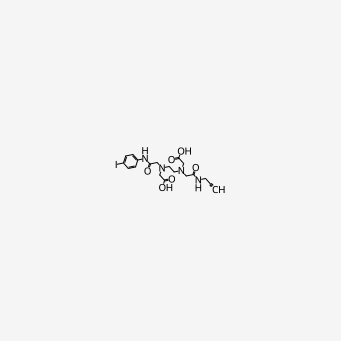 C#CCNC(=O)CN(CCN(CC(=O)O)CC(=O)Nc1ccc(I)cc1)CC(=O)O